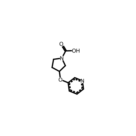 O=C(O)N1CCC(Oc2cccnc2)C1